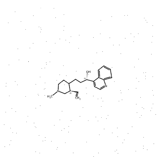 C=C[C@H]1CN(C)CCC1CC[C@H](O)c1ccnc2ccccc12